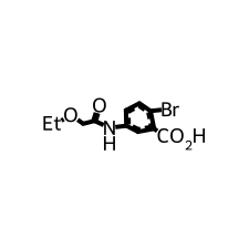 CCOCC(=O)Nc1ccc(Br)c(C(=O)O)c1